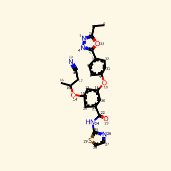 CCc1nnc(-c2ccc(Oc3cc(OC(C)CC#N)cc(C(=O)Nc4nccs4)c3)cc2)o1